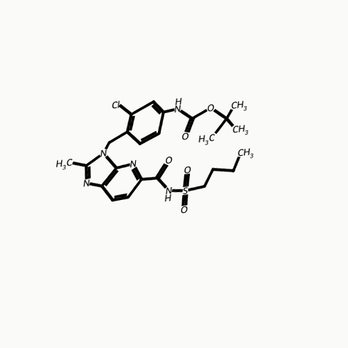 CCCCS(=O)(=O)NC(=O)c1ccc2nc(C)n(Cc3ccc(NC(=O)OC(C)(C)C)cc3Cl)c2n1